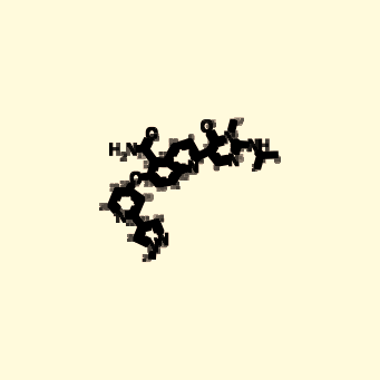 CC(C)Nc1ncc(-c2ccc3c(C(N)=O)c(Oc4ccnc(-c5cnn(C)c5)c4)ccc3n2)c(=O)n1C